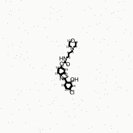 O=C(NCCCN1CCOCC1)Oc1ccc2nc(-c3ccc(Cl)cc3O)sc2c1